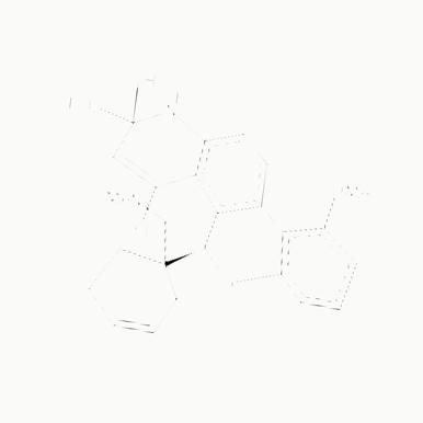 CNCC1([C@@H]2Oc3cccc(OC)c3-c3ccc4c(c32)C(C)=CC(C)(C)N4)CC=CCC1